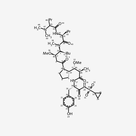 CC[C@H](C)[C@@H]([C@@H](CC(=O)N1CCC[C@H]1[C@H](OC)[C@@H](C)C(=O)N[C@@H](Cc1ccc(O)cc1)C(=O)NS(=O)(=O)C1CC1)OC)N(C)C(=O)[C@@H](NC(=O)C(C(C)C)N(C)C)C(C)C